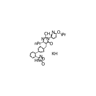 CCCc1nc(C)n(-c2ccc(OC(C)C)nc2)c(=O)c1Cc1ccc(-c2ccccc2-c2noc(=O)[nH]2)cc1.[KH]